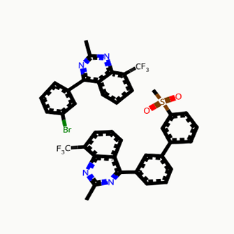 Cc1nc(-c2cccc(-c3cccc(S(C)(=O)=O)c3)c2)c2cccc(C(F)(F)F)c2n1.Cc1nc(-c2cccc(Br)c2)c2cccc(C(F)(F)F)c2n1